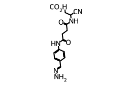 N#CC(CC(=O)O)NC(=O)CCC(=O)Nc1ccc(C=NN)cc1